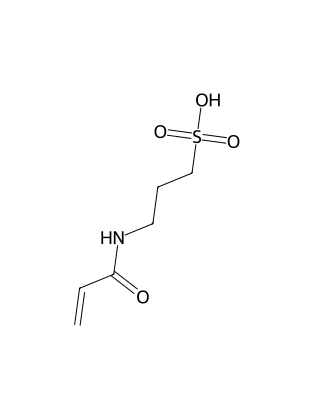 C=CC(=O)NCCCS(=O)(=O)O